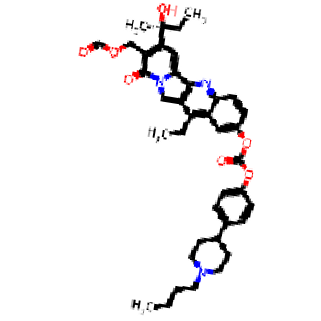 CCCCN1CCC(c2ccc(OC(=O)Oc3ccc4nc5c(c(CC)c4c3)Cn3c-5cc([C@@](C)(O)CC)c(COC=O)c3=O)cc2)CC1